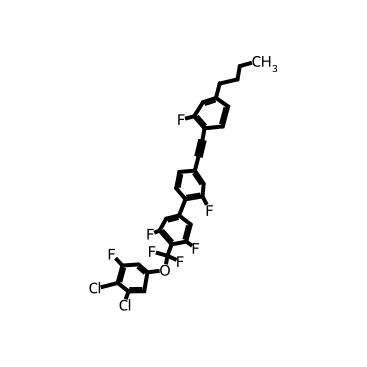 CCCCc1ccc(C#Cc2ccc(-c3cc(F)c(C(F)(F)Oc4cc(F)c(Cl)c(Cl)c4)c(F)c3)c(F)c2)c(F)c1